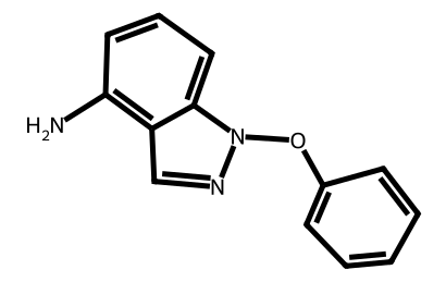 Nc1cccc2c1cnn2Oc1ccccc1